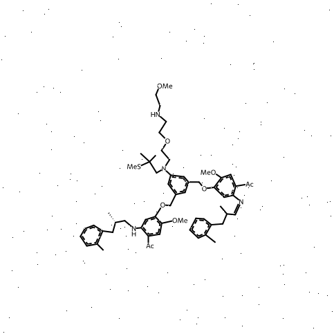 COCCNCCOCCN(CC(C)(C)SC)c1cc(COc2cc(/N=C\C(C)Cc3ccccc3C)c(C(C)=O)cc2OC)cc(COc2cc(NC[C@@H](C)Cc3ccccc3C)c(C(C)=O)cc2OC)c1